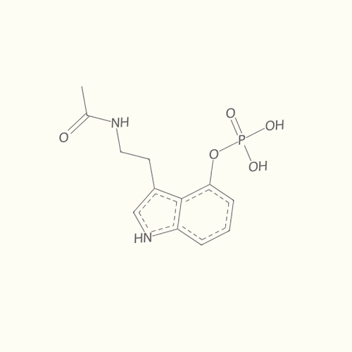 CC(=O)NCCc1c[nH]c2cccc(OP(=O)(O)O)c12